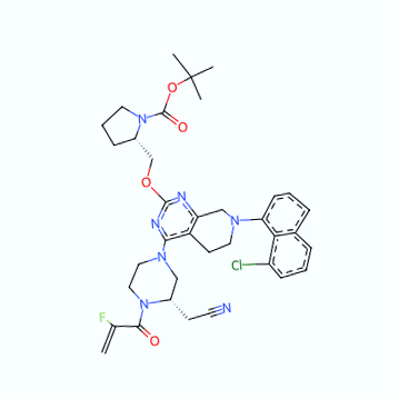 C=C(F)C(=O)N1CCN(c2nc(OC[C@@H]3CCCN3C(=O)OC(C)(C)C)nc3c2CCN(c2cccc4cccc(Cl)c24)C3)C[C@@H]1CC#N